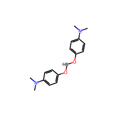 CN(C)c1ccc(OBOc2ccc(N(C)C)cc2)cc1